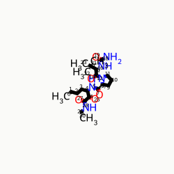 CCCCC(NC(=O)[C@@H]1CCCN1C(=O)[C@@H](NC(N)=O)C(C)(C)C)C(=O)C(=O)NCC